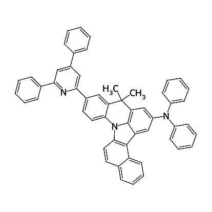 CC1(C)c2cc(-c3cc(-c4ccccc4)cc(-c4ccccc4)n3)ccc2-n2c3ccc4ccccc4c3c3cc(N(c4ccccc4)c4ccccc4)cc1c32